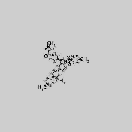 Cc1ccc(S(=O)(=O)n2cc(-c3ccc(C(=O)C4CN(C)C4)cc3)c3cc(-c4ccc(C5CCN(C)CC5)c(C)c4)cnc32)cc1